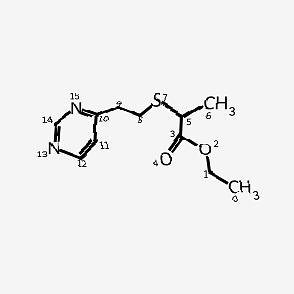 CCOC(=O)C(C)SCCc1ccncn1